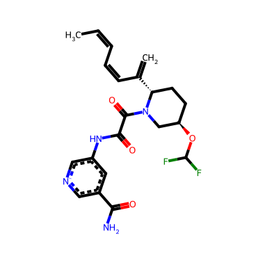 C=C(/C=C\C=C/C)[C@@H]1CC[C@@H](OC(F)F)CN1C(=O)C(=O)Nc1cncc(C(N)=O)c1